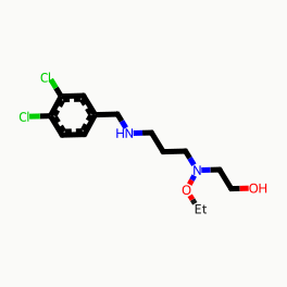 CCON(CCO)CCCNCc1ccc(Cl)c(Cl)c1